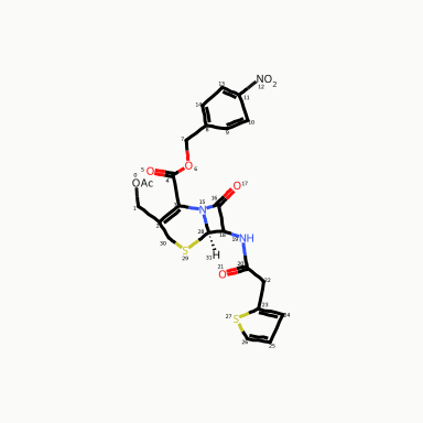 CC(=O)OCC1=C(C(=O)OCc2ccc([N+](=O)[O-])cc2)N2C(=O)C(NC(=O)Cc3cccs3)[C@H]2SC1